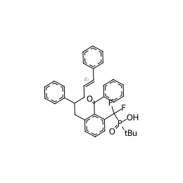 CC(C)(C)P(=O)(O)C(F)(F)c1cccc(CC(C/C=C/c2ccccc2)c2ccccc2)c1C(=O)c1ccccc1